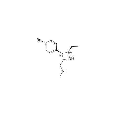 CC[C@H]1NC(CNC)[C@H]1c1ccc(Br)cc1